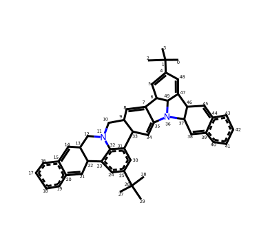 CC(C)(C)C1=CC2C3=CC4CN5CC6C=c7ccccc7=CC6c6cc(C(C)(C)C)cc(c65)C4C=C3N3C4C=c5ccccc5=CC4C(=C1)C23